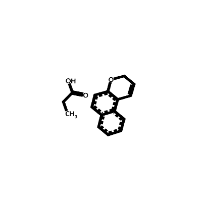 C1=Cc2c(ccc3ccccc23)OC1.CCC(=O)O